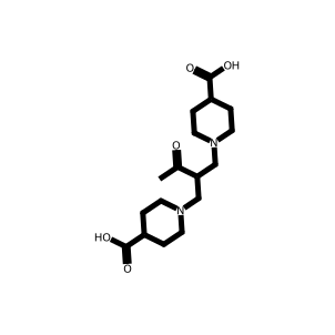 CC(=O)C(CN1CCC(C(=O)O)CC1)CN1CCC(C(=O)O)CC1